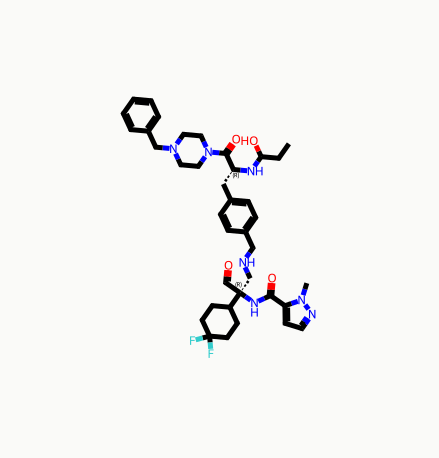 CCC(O)N[C@H](Cc1ccc(CNC[C@](C=O)(NC(=O)c2ccnn2C)C2CCC(F)(F)CC2)cc1)C(=O)N1CCN(Cc2ccccc2)CC1